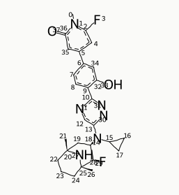 Cn1c(F)cc(-c2ccc(-c3ncc(N(C4CC4)[C@@H]4C[C@@]5(C)CCC[C@](C)(N5)[C@@H]4F)nn3)c(O)c2)cc1=O